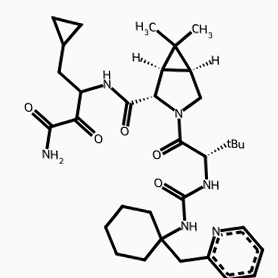 CC(C)(C)[C@H](NC(=O)NC1(Cc2ccccn2)CCCCC1)C(=O)N1C[C@H]2[C@@H]([C@H]1C(=O)NC(CC1CC1)C(=O)C(N)=O)C2(C)C